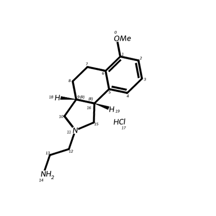 COc1cccc2c1CC[C@H]1CN(CCN)C[C@@H]21.Cl